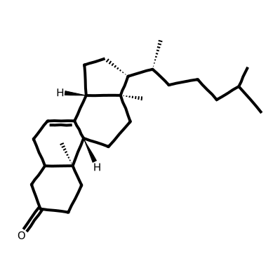 CC(C)CCC[C@@H](C)[C@H]1CC[C@H]2C3=CCC4CC(=O)CC[C@]4(C)[C@H]3CC[C@]12C